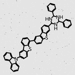 c1ccc(C2NC(c3ccccc3)NC(c3ccc4c(c3)sc3ccc(-c5cccc6c5sc5ccc(-n7c8ccccc8c8ccccc87)cc56)cc34)N2)cc1